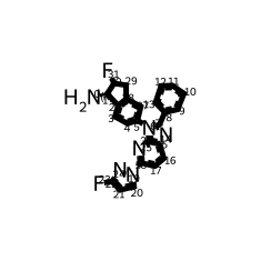 N[C@@H]1c2ccc(-n3c(-c4ccccc4)nc4ccc(-n5ccc(F)n5)nc43)cc2CC1F